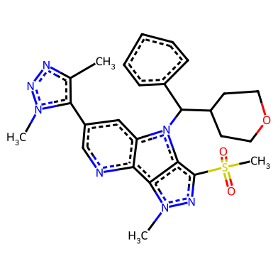 Cc1nnn(C)c1-c1cnc2c3c(c(S(C)(=O)=O)nn3C)n(C(c3ccccc3)C3CCOCC3)c2c1